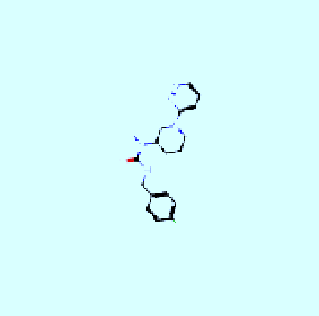 CN(C(=O)NCc1ccc(Cl)cc1)C1CCCN(c2cccnn2)C1